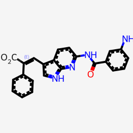 Nc1cccc(C(=O)Nc2ccc3c(/C=C(/C(=O)O)c4ccccc4)c[nH]c3n2)c1